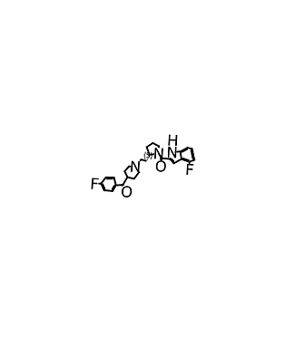 O=C(c1ccc(F)cc1)C1CCN(CC[C@@H]2CCCN2C(=O)c2cc3c(F)cccc3[nH]2)CC1